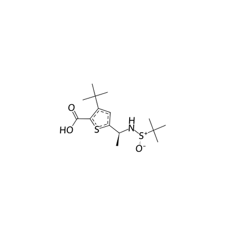 C[C@H](N[S@@+]([O-])C(C)(C)C)c1cc(C(C)(C)C)c(C(=O)O)s1